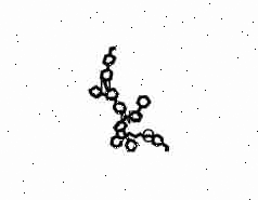 C=CC1CC=C(C2CC=C(N3C4CCCC=C4C4C=C(C5CC=C(N(C6C=CC=C(C7CCCCC7)C6)C6C=CC7C8CCCCC8C(CCCCOC8CCC(C=C)CC8)(C8CCCCC8)C7C6)CC5)CCC43)CC2)CC1